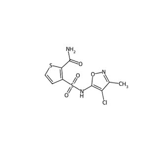 Cc1noc(NS(=O)(=O)c2ccsc2C(N)=O)c1Cl